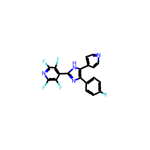 Fc1ccc(-c2nc(-c3c(F)c(F)nc(F)c3F)[nH]c2-c2ccncc2)cc1